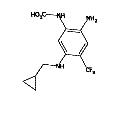 Nc1cc(C(F)(F)F)c(NCC2CC2)cc1NC(=O)O